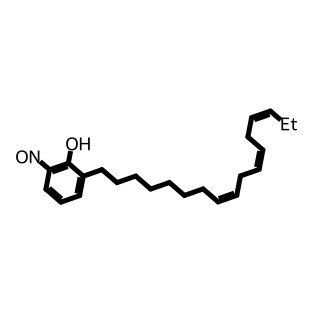 CC/C=C\C/C=C\C/C=C\CCCCCCCc1cccc(N=O)c1O